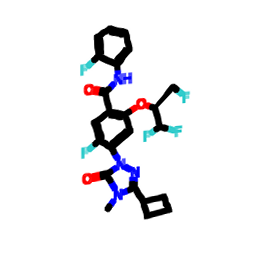 Cn1c(C2CCC2)nn(-c2cc(O[C@@H](CF)C(F)F)c(C(=O)Nc3ccccc3F)cc2F)c1=O